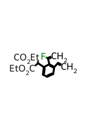 C=Cc1cccc(C(C(=O)OCC)C(=O)OCC)c1C(=C)F